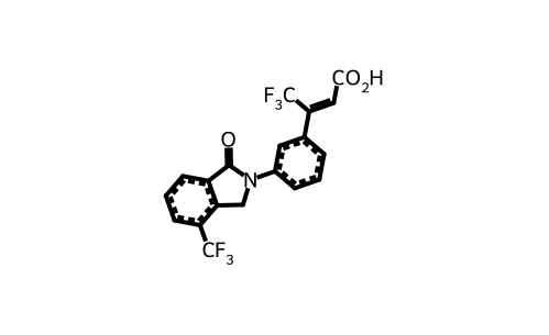 O=C(O)/C=C(/c1cccc(N2Cc3c(cccc3C(F)(F)F)C2=O)c1)C(F)(F)F